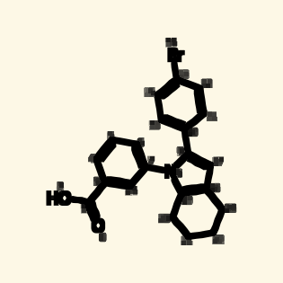 O=C(O)c1cccc(-n2c(-c3ccc(Br)cc3)cc3c2CCCC3)c1